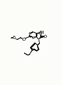 CCc1ccc(Cn2c(=O)[nH]c3cnc(OCCOC)nc32)cc1